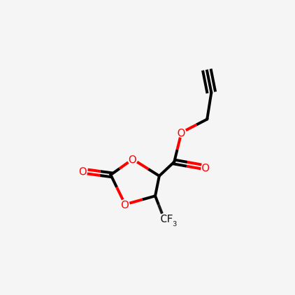 C#CCOC(=O)C1OC(=O)OC1C(F)(F)F